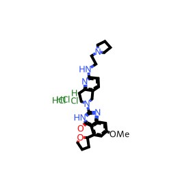 COc1cc(C2CCCO2)c2c(=O)[nH]c(N3CCc4nc(NCCN5CCCC5)ccc4C3)nc2c1.Cl.Cl.Cl